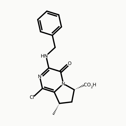 C[C@H]1C[C@@H](C(=O)O)n2c1c(Cl)nc(NCc1ccccc1)c2=O